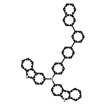 c1cc(-c2ccc(-c3ccc(N(c4ccc5sc6ccccc6c5c4)c4ccc5sc6ccccc6c5c4)cc3)cc2)cc(-c2ccc3ccccc3c2)c1